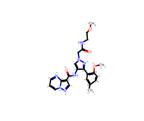 COCCNC(=O)Cn1cc(NC(=O)c2cnn3cccnc23)c(-c2cc(C)ccc2OC)n1